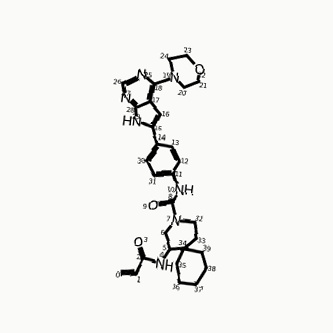 C=CC(=O)NC1CN(C(=O)Nc2ccc(-c3cc4c(N5CCOCC5)ncnc4[nH]3)cc2)CCC12CCCCC2